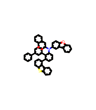 c1ccc(-c2cccc(-c3c(-c4cccc5sc6ccccc6c45)cccc3N(c3ccc4ccccc4c3)c3ccc4oc5ccccc5c4c3)c2)cc1